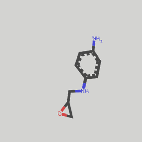 Nc1ccc(NCC2CO2)cc1